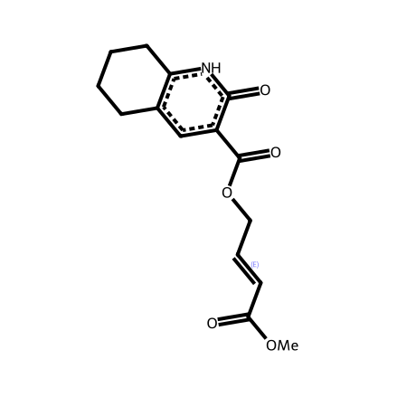 COC(=O)/C=C/COC(=O)c1cc2c([nH]c1=O)CCCC2